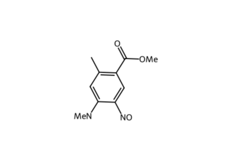 CNc1cc(C)c(C(=O)OC)cc1N=O